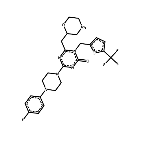 O=c1nc(N2CCN(c3ccc(F)cc3)CC2)nc(CC2CNCCO2)n1Cc1ccc(C(F)(F)F)s1